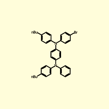 CCCCc1ccc(N(c2ccccc2)c2ccc(N(c3ccc(Br)cc3)c3ccc(CCCC)cc3)cc2)cc1